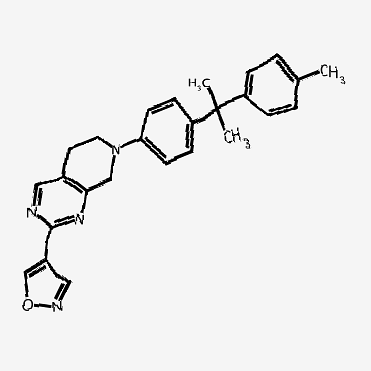 Cc1ccc(C(C)(C)c2ccc(N3CCc4cnc(-c5cnoc5)nc4C3)cc2)cc1